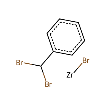 BrC(Br)c1ccccc1.[Br][Zr]